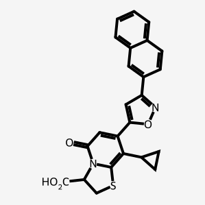 O=C(O)C1CSc2c(C3CC3)c(-c3cc(-c4ccc5ccccc5c4)no3)cc(=O)n21